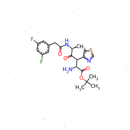 C[C@H](NC(=O)Cc1cc(F)cc(F)c1)C(=O)C(c1cscn1)C(N)C(=O)OC(C)(C)C